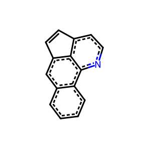 C1=Cc2cc3ccccc3c3nccc1c23